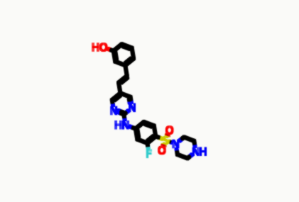 O=S(=O)(c1ccc(Nc2ncc(C=Cc3cccc(O)c3)cn2)cc1F)N1CCNCC1